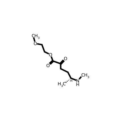 CN[C@H](C)CCC(=O)C(=O)OCCOC